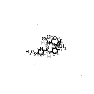 CSc1cnc(C(=O)Nc2ccc(F)c([C@@]3(C)N=C(N)COCC3(F)F)c2)cn1.O=CO